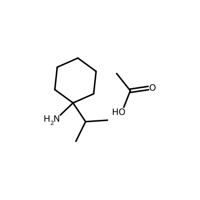 CC(=O)O.CC(C)C1(N)CCCCC1